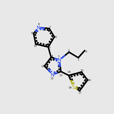 CCCn1c(-c2ccncc2)cnc1-c1cccs1